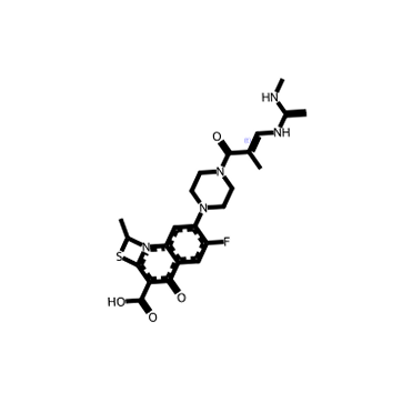 C=C(NC)N/C=C(\C)C(=O)N1CCN(c2cc3c(cc2F)c(=O)c(C(=O)O)c2n3C(C)S2)CC1